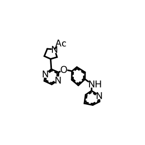 CC(=O)N1CCC(c2nccnc2Oc2ccc(Nc3ccccn3)cc2)C1